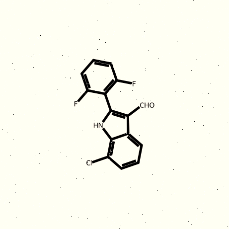 O=Cc1c(-c2c(F)cccc2F)[nH]c2c(Cl)cccc12